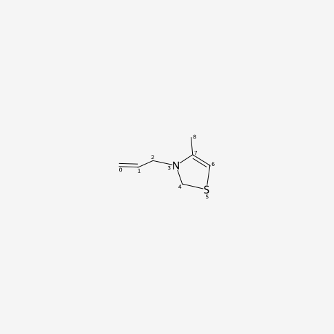 C=CCN1CSC=C1C